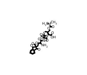 CO[C@@]1(NC(=O)C(N)CCC2(C(=O)O)C(=O)c3ccccc3C2=O)C(=O)N2C(C(=O)O)=C(COC(=O)N(C)C)CS[C@H]21